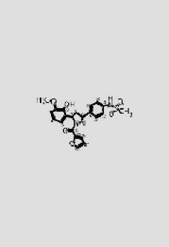 COc1cccc(C2CC(c3ccc(NS(C)(=O)=O)cc3)=NN2C(=O)c2ccco2)c1O